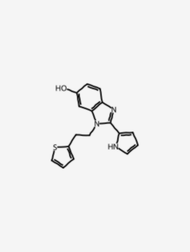 Oc1ccc2nc(-c3ccc[nH]3)n(CCc3cccs3)c2c1